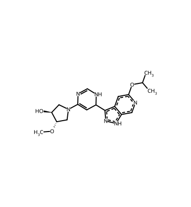 CO[C@H]1CN(C2=CC(c3n[nH]c4cnc(OC(C)C)cc34)NC=N2)C[C@@H]1O